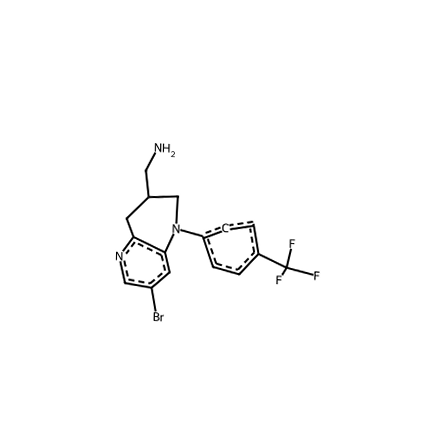 NCC1Cc2ncc(Br)cc2N(c2ccc(C(F)(F)F)cc2)C1